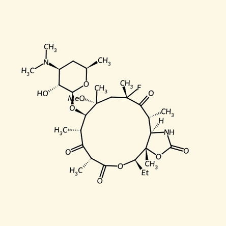 CC[C@H]1OC(=O)[C@H](C)C(=O)[C@H](C)[C@@H](O[C@@H]2O[C@H](C)C[C@H](N(C)C)[C@H]2O)[C@](C)(OC)C[C@](C)(F)C(=O)[C@H](C)[C@H]2NC(=O)O[C@@]21C